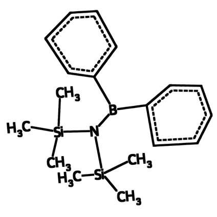 C[Si](C)(C)N(B(c1ccccc1)c1ccccc1)[Si](C)(C)C